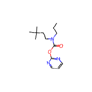 CCCN(CCC(C)(C)C)C(=O)Oc1ncccn1